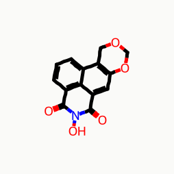 O=C1c2cccc3c4c(cc(c23)C(=O)N1O)OCOC4